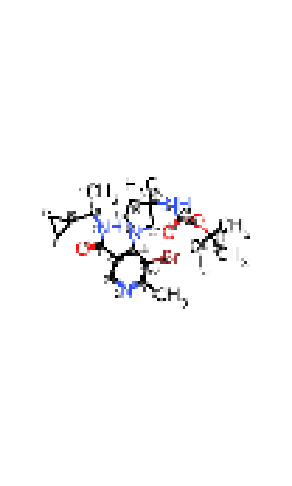 Cc1ncc(C(=O)N[C@@H](C)C2CC2)c(N2CC[C@](C)(NC(=O)OC(C)(C)C)C2)c1Br